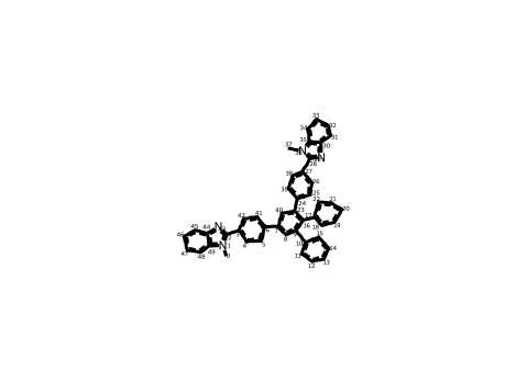 Cn1c(-c2ccc(-c3cc(-c4ccccc4)c(-c4ccccc4)c(-c4ccc(-c5nc6ccccc6n5C)cc4)c3)cc2)nc2ccccc21